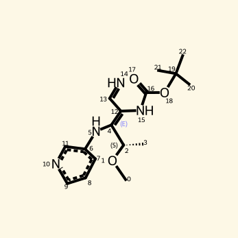 CO[C@@H](C)/C(Nc1cccnc1)=C(/C=N)NC(=O)OC(C)(C)C